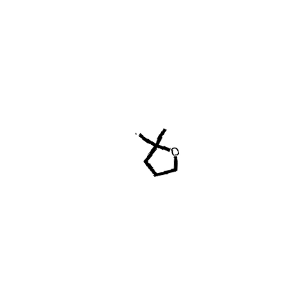 [CH2]C1(C)CCCO1